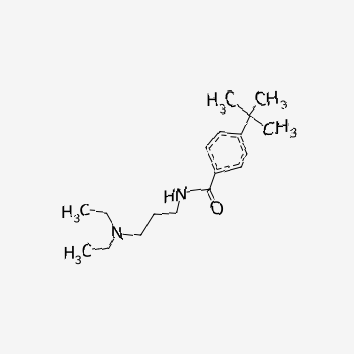 CCN(CC)CCCNC(=O)c1ccc(C(C)(C)C)cc1